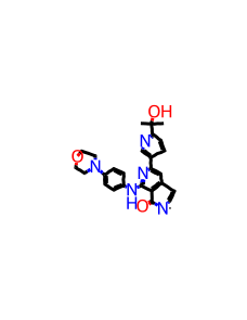 CC(C)(O)c1ccc(-c2cc3c(c(Nc4ccc(N5CCOCC5)cc4)n2)C(=O)[N]C=C3)cn1